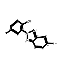 Cc1ccc(O)c(-n2nc3ccc(I)cc3n2)c1